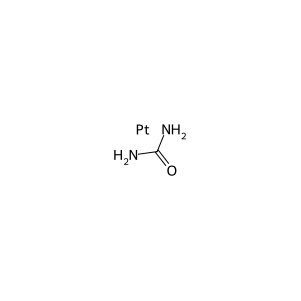 NC(N)=O.[Pt]